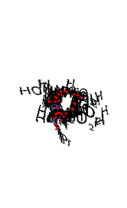 CC(C)CCCCCCC/C=C/C(=O)N[C@@H](CO)C(=O)N[C@@H]1C(=O)N[C@H](Cc2c[nH]c3ccccc23)C(=O)N[C@@H](CC(=O)O)C(=O)N[C@@H](CC(=O)O)C(=O)N[C@H](c2ccc(O)cc2)C(=O)N[C@@H](CC(=O)O)C(=O)NCC(=O)N[C@H]([C@H](O)C(N)=O)C(=O)N[C@H](CCC(=O)O)C(=O)N/C(=C\c2c[nH]c3ccccc23)C(=O)O[C@@H]1C